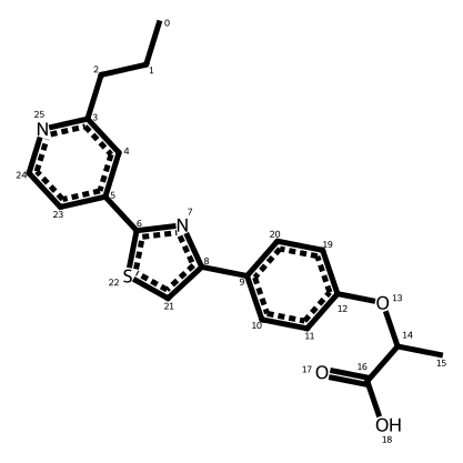 CCCc1cc(-c2nc(-c3ccc(OC(C)C(=O)O)cc3)cs2)ccn1